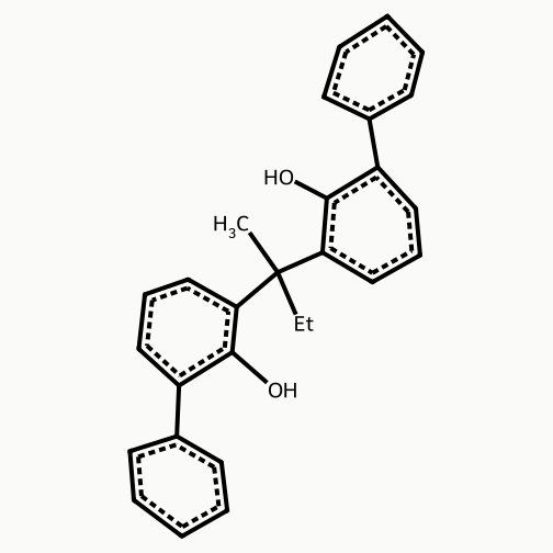 CCC(C)(c1cccc(-c2ccccc2)c1O)c1cccc(-c2ccccc2)c1O